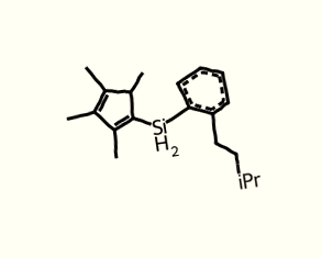 CC1=C(C)C(C)C([SiH2]c2ccccc2CCC(C)C)=C1C